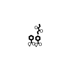 C=CC(=O)C(=O)C=C.COC(=O)c1ccccc1.COC(=O)c1ccccc1